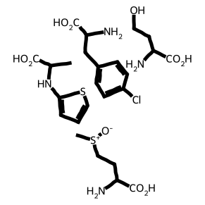 CC(Nc1cccs1)C(=O)O.C[S+]([O-])CCC(N)C(=O)O.NC(CCO)C(=O)O.NC(Cc1ccc(Cl)cc1)C(=O)O